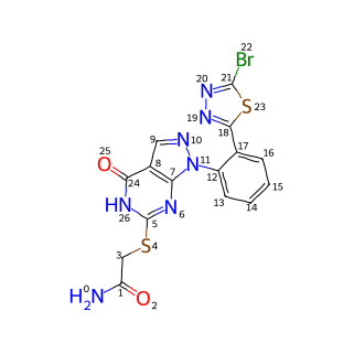 NC(=O)CSc1nc2c(cnn2-c2ccccc2-c2nnc(Br)s2)c(=O)[nH]1